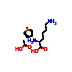 CC(=O)O.NCCCC[C@H](N)C(=O)O.c1ccsc1